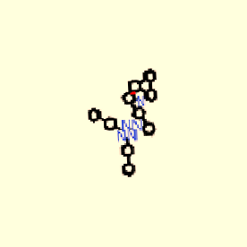 c1ccc(-c2ccc(-c3nc(-c4ccc(-c5ccccc5)cc4)nc(-n4c5ccccc5c5cc6c(cc54)c4ccccc4n6-c4cccc5c6ccccc6c6ccccc6c45)n3)cc2)cc1